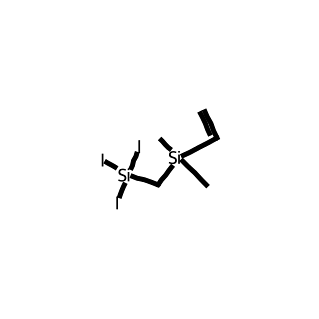 C=C[Si](C)(C)C[Si](I)(I)I